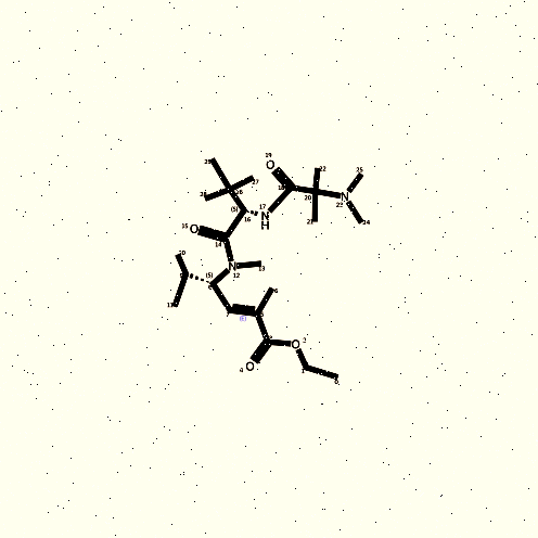 CCOC(=O)/C(C)=C/[C@H](C(C)C)N(C)C(=O)[C@@H](NC(=O)C(C)(C)N(C)C)C(C)(C)C